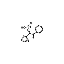 O=C(Nc1ccccc1)c1nccs1.OBO